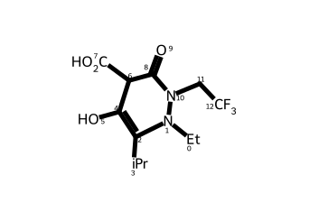 CCN1C(C(C)C)=C(O)C(C(=O)O)C(=O)N1CC(F)(F)F